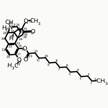 CCCCCCCCCCCCCC(=O)Oc1c(OC)ccc2c1[C@]13CCN(C)[C@H](C2)[C@@H]1C=C(OC)C(=O)C3